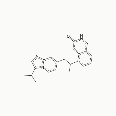 CC(C)c1cnc2cc(CC(C)c3cccc4c[nH]c(=O)cc34)ccn12